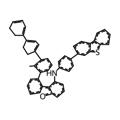 Cc1c(C2=CC=C(C3=CC=CCC3)CC2)cccc1-c1cccc2oc3cccc(Nc4ccc(-c5ccc6c(c5)sc5ccccc56)cc4)c3c12